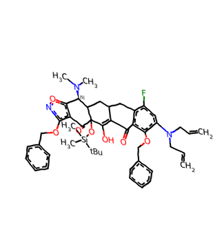 C=CCN(CC=C)c1cc(F)c2c(c1OCc1ccccc1)C(=O)C1=C(O)C3(O[Si](C)(C)C(C)(C)C)C(=O)c4c(OCc5ccccc5)noc4[C@@H](N(C)C)C3CC1C2